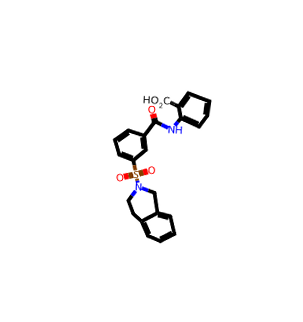 O=C(Nc1ccccc1C(=O)O)c1cccc(S(=O)(=O)N2CCc3ccccc3C2)c1